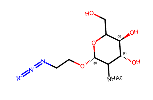 CC(=O)NC1[C@H](OCCN=[N+]=[N-])OC(CO)[C@@H](O)[C@@H]1O